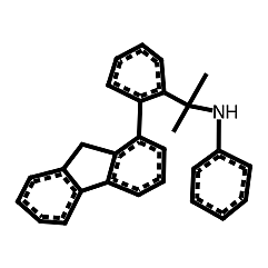 CC(C)(Nc1ccccc1)c1ccccc1-c1cccc2c1Cc1ccccc1-2